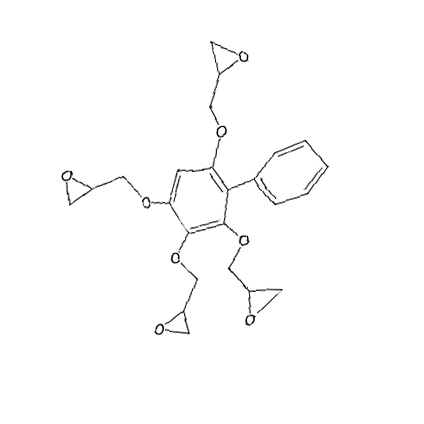 c1ccc(-c2c(OCC3CO3)cc(OCC3CO3)c(OCC3CO3)c2OCC2CO2)cc1